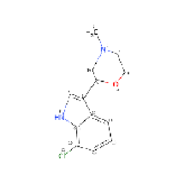 CN1CCOC(c2c[nH]c3c(Cl)cccc23)C1